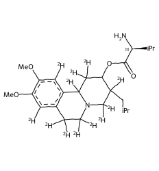 [2H]c1c(OC)c(OC)c([2H])c2c1C([2H])([2H])C([2H])([2H])N1C([2H])([2H])C([2H])(CC(C)C)C(OC(=O)[C@@H](N)C(C)C)C([2H])([2H])C21[2H]